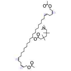 CC(=O)OC/C=C\C/C=C\CCCCCCCCC(CCCCCCCC/C=C\C/C=C\COC(C)=O)OC(=O)CC(C)(C)CC(C)(C)CN(C)C